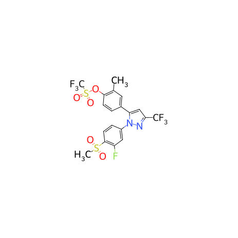 Cc1cc(-c2cc(C(F)(F)F)nn2-c2ccc(S(C)(=O)=O)c(F)c2)ccc1OS(=O)(=O)C(F)(F)F